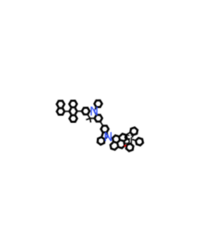 CC1(C)c2cc(-c3ccc4c(c3)c3ccccc3n4-c3cc4cc5c(c6ccc7cccc3c7c46)[Si](c3ccccc3)(c3ccccc3)c3ccccc3-5)ccc2N(c2ccccc2)c2ccc(-c3c4ccccc4c(-c4cccc5ccccc45)c4ccccc34)cc21